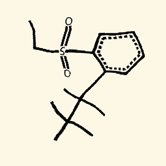 CCS(=O)(=O)c1ccccc1C(C)(C)C(C)(C)C